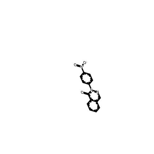 O=c1c2ccccc2cnn1-c1ccc([N+](=O)[O-])cc1